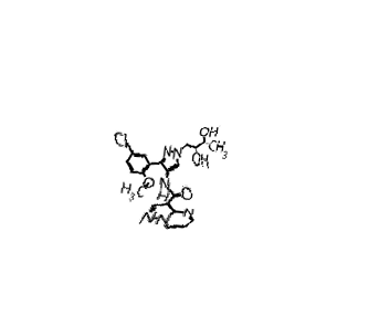 COc1ccc(Cl)cc1-c1nn(C[C@@H](O)[C@@H](C)O)cc1NC(=O)C1C=NN2C=CC=NC12